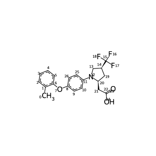 Cc1ccccc1Oc1ccc(N2C[C@@H](C(F)(F)F)C[C@H]2CC(=O)O)cc1